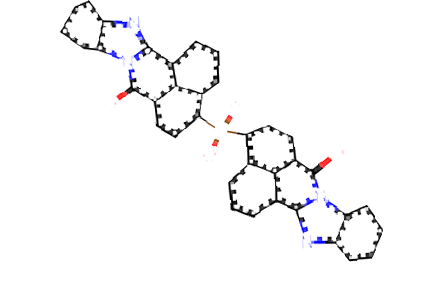 O=c1c2ccc(S(=O)(=O)c3ccc4c(=O)n5c6ccccc6nc5c5cccc3c45)c3cccc(c32)c2nc3ccccc3n12